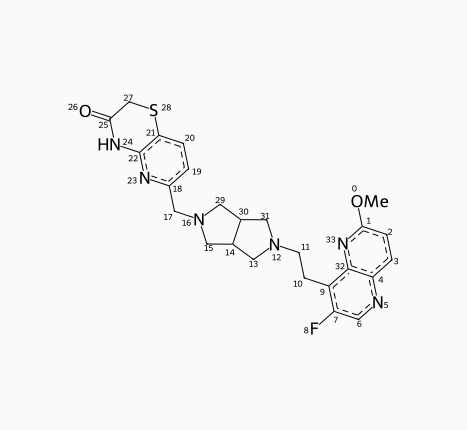 COc1ccc2ncc(F)c(CCN3CC4CN(Cc5ccc6c(n5)NC(=O)CS6)CC4C3)c2n1